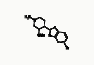 COC1CN(C)CCC1c1nc2cc(Br)ccc2s1